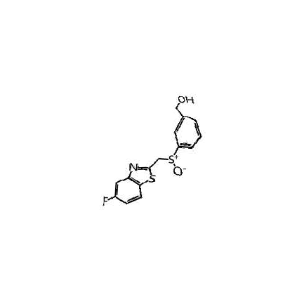 [O-][S+](Cc1nc2cc(F)ccc2s1)c1cccc(CO)c1